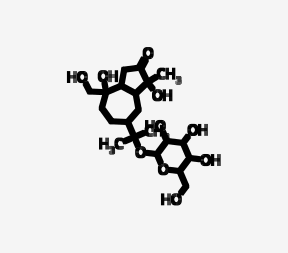 CC(C)(OC1OC(CO)C(O)C(O)C1O)C1CCC(O)(CO)C2CC(=O)C(C)(O)C2C1